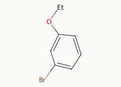 CCOc1[c]ccc(Br)c1